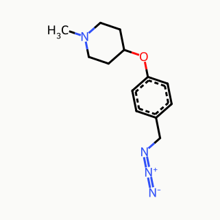 CN1CCC(Oc2ccc(CN=[N+]=[N-])cc2)CC1